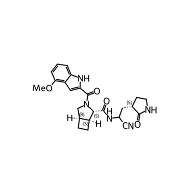 COc1cccc2[nH]c(C(=O)N3C[C@@H]4CC[C@@H]4[C@H]3C(=O)NC(C#N)C[C@@H]3CCNC3=O)cc12